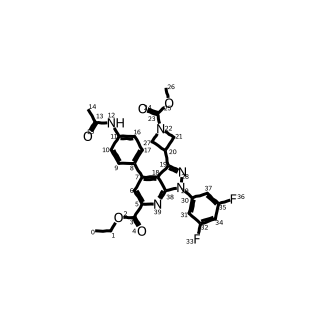 CCOC(=O)c1cc(-c2ccc(NC(C)=O)cc2)c2c(C3CN(C(=O)OC)C3)nn(-c3cc(F)cc(F)c3)c2n1